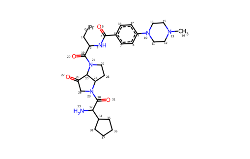 CC(C)CC(NC(=O)c1ccc(N2CCN(C)CC2)cc1)C(=O)N1CCC2C1C(=O)CN2C(=O)C(N)C1CCCC1